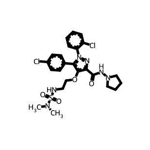 CN(C)S(=O)(=O)NCCOc1c(C(=O)NN2CCCC2)nn(-c2ccccc2Cl)c1-c1ccc(Cl)cc1